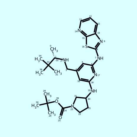 C[C@H](NCc1cc(Nc2nc3cccnc3s2)nc(NC2CCN(C(=O)OC(C)(C)C)C2)c1)C(C)(C)C